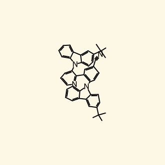 CC(C)(C)c1ccc2c(c1)c1ccccc1n2-c1ccc(C#N)cc1-c1ncccc1-n1c2ccccc2c2cc(C(C)(C)C)ccc21